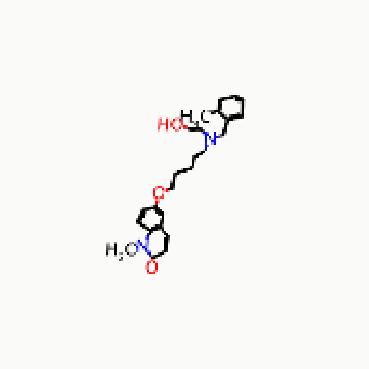 Cc1ccccc1CN(CCO)CCCCCOc1ccc2c(ccc(=O)n2C)c1